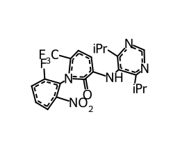 CC(C)c1ncnc(C(C)C)c1Nc1ccc(C(F)(F)F)n(-c2c(F)cccc2[N+](=O)[O-])c1=O